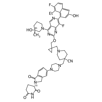 CCc1c(F)ccc2cc(O)cc(-c3ncc4c(N5CCC[C@@](C)(O)C5)nc(OCC5(CN6CCC(C#N)(CN7CCN(c8ccc9c(c8)CN([C@H]8CCC(=O)NC8=O)C9=O)CC7)CC6)CC5)nc4c3F)c12